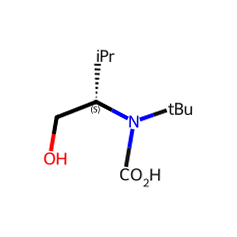 CC(C)[C@@H](CO)N(C(=O)O)C(C)(C)C